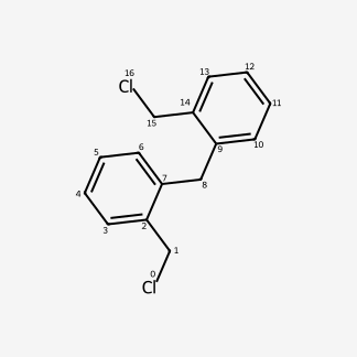 ClCc1ccccc1Cc1ccccc1CCl